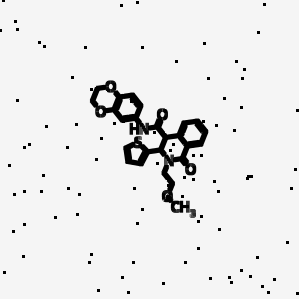 COCCN1C(=O)c2ccccc2C(C(=O)Nc2ccc3c(c2)OCCO3)C1c1cccs1